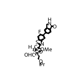 COC(C)(c1nc2cc(-c3ccc4c(c3)CNC4=O)c(F)cc2s1)S(=O)(=O)N([C]=O)CCOC(C)C